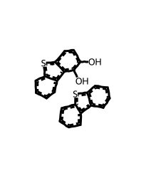 Oc1ccc2sc3ccccc3c2c1O.c1ccc2c(c1)sc1ccccc12